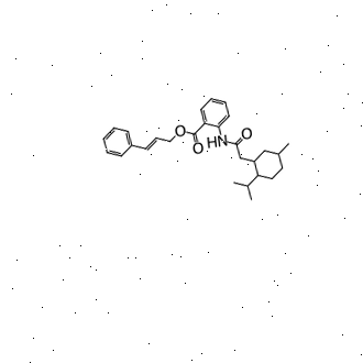 CC1CCC(C(C)C)C(CC(=O)Nc2ccccc2C(=O)OC/C=C/c2ccccc2)C1